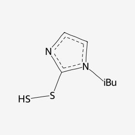 CCC(C)n1ccnc1SS